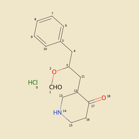 Cl.O=COC(Cc1ccccc1)CC1CNCCC1=O